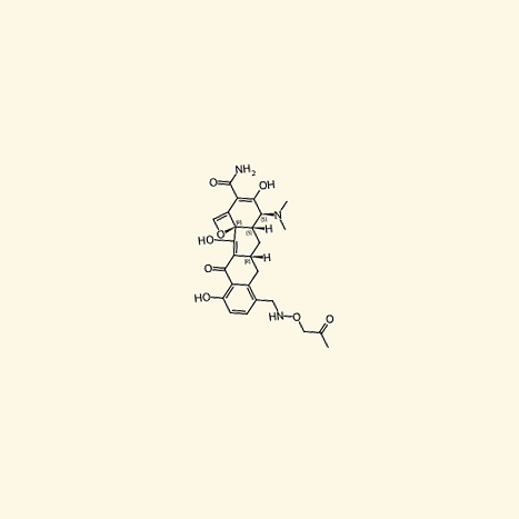 CC(=O)CONCc1ccc(O)c2c1C[C@H]1C[C@H]3[C@H](N(C)C)C(O)=C(C(N)=O)C4=CO[C@@]43C(O)=C1C2=O